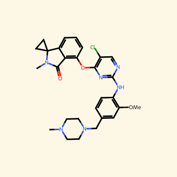 COc1cc(CN2CCN(C)CC2)ccc1Nc1ncc(Cl)c(Oc2cccc3c2C(=O)N(C)C32CC2)n1